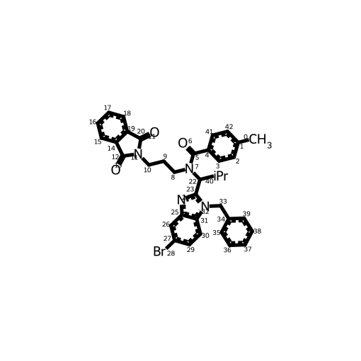 Cc1ccc(C(=O)N(CCCN2C(=O)c3ccccc3C2=O)C(c2nc3cc(Br)ccc3n2Cc2ccccc2)C(C)C)cc1